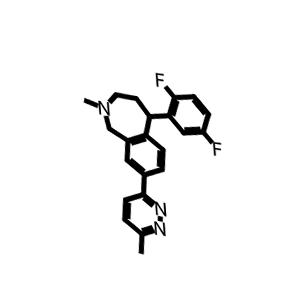 Cc1ccc(-c2ccc3c(c2)CN(C)CCC3c2cc(F)ccc2F)nn1